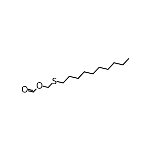 CCCCCCCCCCSCOC=O